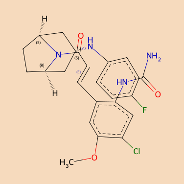 COc1cc(/C=C/C(=O)N2[C@@H]3CC[C@H]2C[C@H](Nc2ccc(F)cc2)C3)c(NC(N)=O)cc1Cl